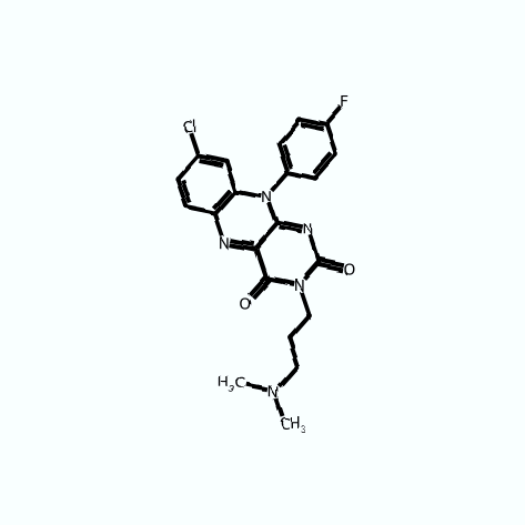 CN(C)CCCn1c(=O)nc2n(-c3ccc(F)cc3)c3cc(Cl)ccc3nc-2c1=O